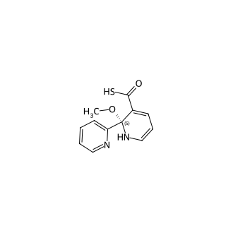 CO[C@@]1(c2ccccn2)NC=CC=C1C(=O)S